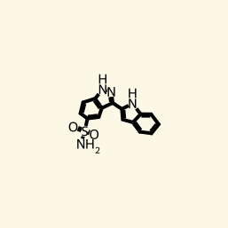 NS(=O)(=O)c1ccc2[nH]nc(-c3cc4ccccc4[nH]3)c2c1